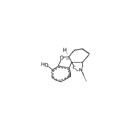 CN1CCC23c4cccc(O)c4O[C@H]2CCCC3C1